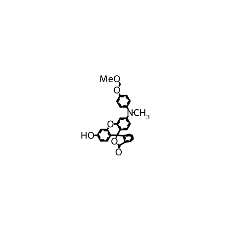 COCOc1ccc(N(C)c2ccc3c(c2)Oc2cc(O)ccc2C32OC(=O)c3ccccc32)cc1